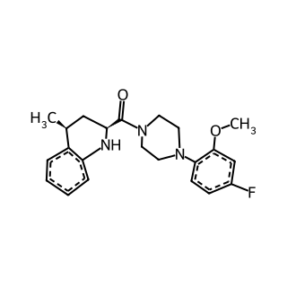 COc1cc(F)ccc1N1CCN(C(=O)[C@@H]2C[C@H](C)c3ccccc3N2)CC1